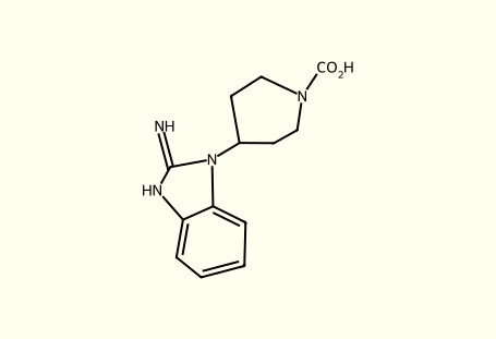 N=c1[nH]c2ccccc2n1C1CCN(C(=O)O)CC1